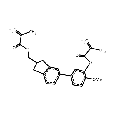 C=C(C)C(=O)OCC1Cc2ccc(-c3ccc(OC)c(OC(=O)C(=C)C)c3)cc2C1